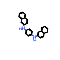 C1=CCC2C=CC(Nc3ccc(Nc4ccc5ccccc5c4)cc3)=CC2=C1